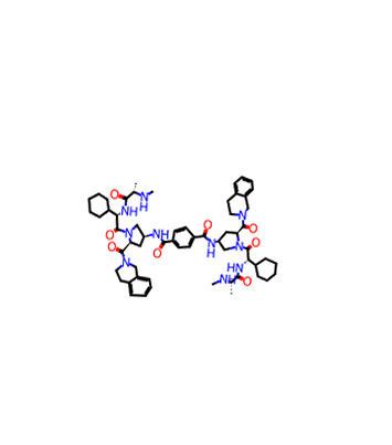 CN[C@@H](C)C(=O)N[C@H](C(=O)N1C[C@@H](NC(=O)c2ccc(C(=O)N[C@H]3C[C@@H](C(=O)N4CCc5ccccc5C4)N(C(=O)[C@@H](NC(=O)[C@H](C)NC)C4CCCCC4)C3)cc2)C[C@H]1C(=O)N1CCc2ccccc2C1)C1CCCCC1